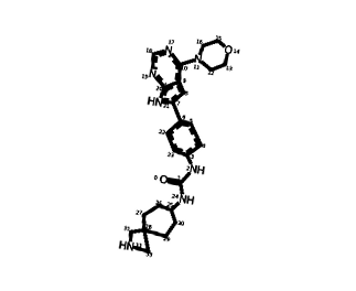 O=C(Nc1ccc(-c2cc3c(N4CCOCC4)ncnc3[nH]2)cc1)NC1CCC2(CC1)CNC2